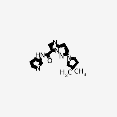 CC1(C)CCN(c2ccc3ncc(C(=O)Nc4cccnc4)n3n2)C1